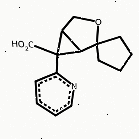 O=C(O)C1(c2ccccn2)C2COC3(CCCC3)C21